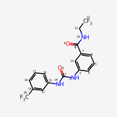 O=C(Nc1cccc(C(=O)NCC(F)(F)F)c1)Nc1cccc(C(F)(F)F)c1